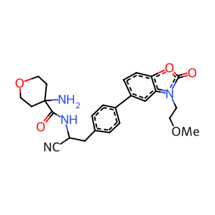 COCCn1c(=O)oc2ccc(-c3ccc(CC(C#N)NC(=O)C4(N)CCOCC4)cc3)cc21